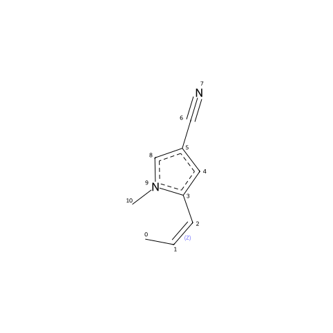 C/C=C\c1cc(C#N)cn1C